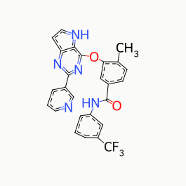 Cc1ccc(C(=O)Nc2cccc(C(F)(F)F)c2)cc1Oc1nc(-c2cccnc2)nc2cc[nH]c12